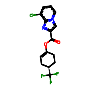 O=C(OC1=CC[C@@H](C(F)(F)F)CC1)c1cn2cccc(Cl)c2n1